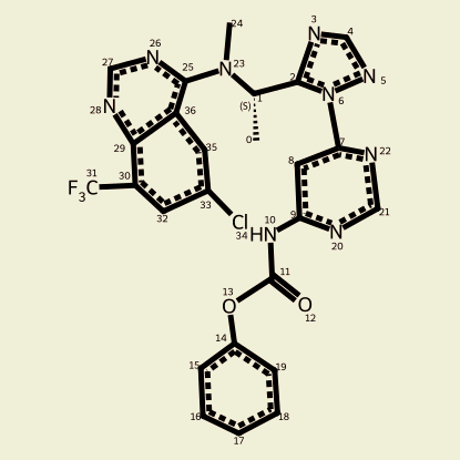 C[C@@H](c1ncnn1-c1cc(NC(=O)Oc2ccccc2)ncn1)N(C)c1ncnc2c(C(F)(F)F)cc(Cl)cc12